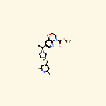 Cc1cc(C[C@@H]2CCN(C(C)c3cnc4c(c3)OCCN4C(=O)OC(C)C)C2)cc(C)n1